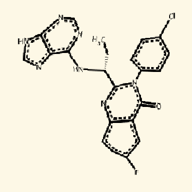 CC[C@@H](Nc1ncnc2[nH]cnc12)c1nc2ccc(F)cc2c(=O)n1-c1ccc(Cl)cc1